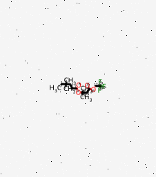 CCC(C)(C)CCC(=O)OC(C)(C)CC(=O)OCC(F)(F)F